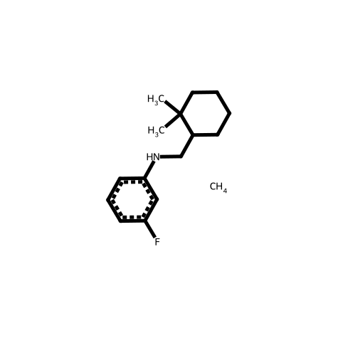 C.CC1(C)CCCCC1CNc1cccc(F)c1